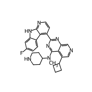 CN(c1nc(-c2ccnc3[nH]c4cc(F)ccc4c23)nc2cncc(C3CCC3)c12)C1CCNCC1